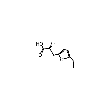 CCc1ccc(CC(=O)C(=O)O)o1